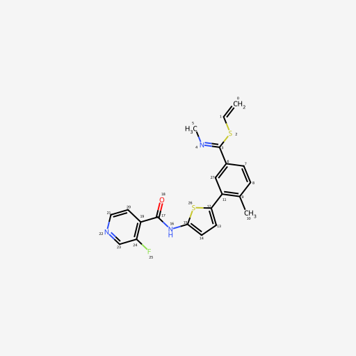 C=CS/C(=N\C)c1ccc(C)c(-c2ccc(NC(=O)c3ccncc3F)s2)c1